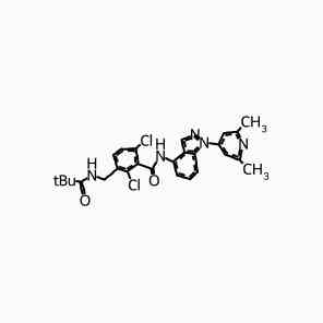 Cc1cc(-n2ncc3c(NC(=O)c4c(Cl)ccc(CNC(=O)C(C)(C)C)c4Cl)cccc32)cc(C)n1